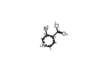 O=C(Cl)c1ccncc1Br